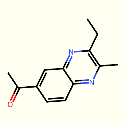 CCc1nc2cc(C(C)=O)ccc2nc1C